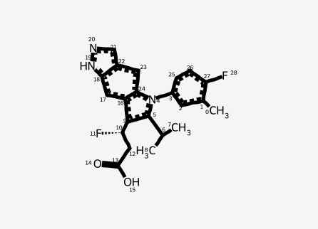 Cc1cc(-n2c(C(C)C)c([C@@H](F)CC(=O)O)c3cc4[nH]ncc4cc32)ccc1F